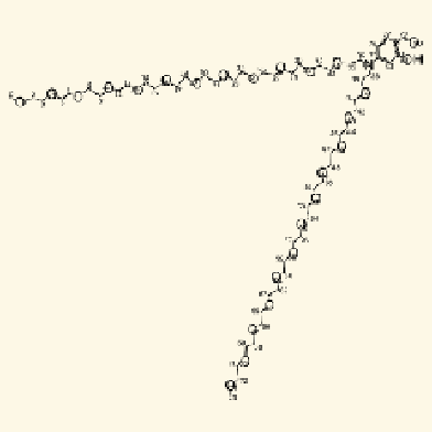 COCCOCCOCCOCCOCCOCCOCCOCCOCCOCCOCCOCCN(CCOCCOCCOCCOCCOCCOCCOCCOCCOCCOCCOCCOC)c1ccc(C=O)c(O)c1